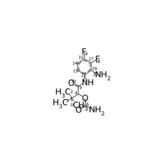 CC(C)(C)C(OC(N)=O)C(=O)Nc1ccc(F)c(F)c1N